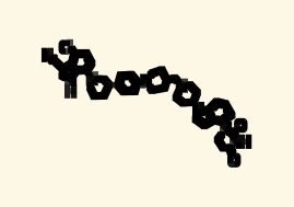 N#Cc1c[nH]c2c(N3CCC[C@@H](c4ccc(N5CCC(CN6CCC(n7ccc8c(N9CCC(=O)NC9=O)cccc87)CC6)CC5)cc4)C3)ccc(Cl)c12